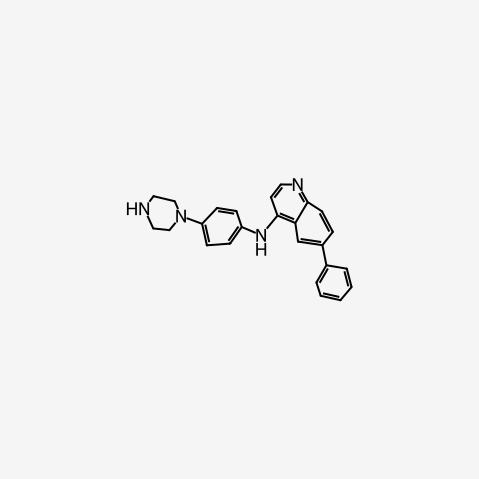 c1ccc(-c2ccc3nccc(Nc4ccc(N5CCNCC5)cc4)c3c2)cc1